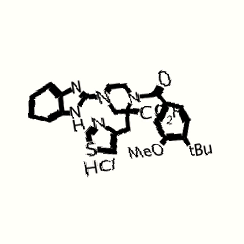 COc1cc(C(=O)N2CCN(c3nc4ccccc4[nH]3)CC2(Cc2cscn2)C(=O)O)ccc1C(C)(C)C.Cl